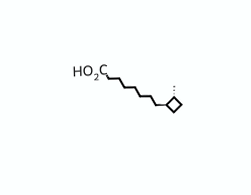 C[C@@H]1CC[C@H]1CCCCCCCC(=O)O